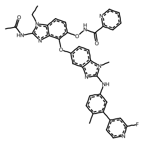 CCn1c(NC(C)=O)nc2c(Oc3ccc4c(c3)nc(Nc3ccc(C)c(-c5ccnc(F)c5)c3)n4C)c(ONC(=O)c3ccccn3)ccc21